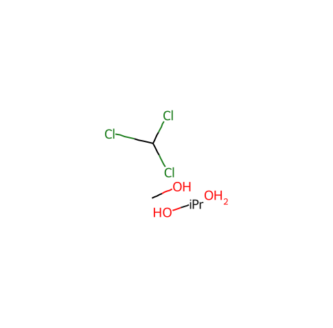 CC(C)O.CO.ClC(Cl)Cl.O